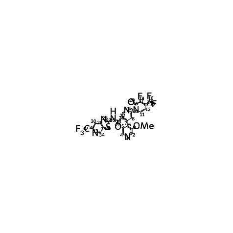 COc1cnccc1-c1cc(-n2ccc(C(F)F)c(F)c2=O)ncc1C(=O)Nc1nc2cc(C(F)(F)F)ncc2s1